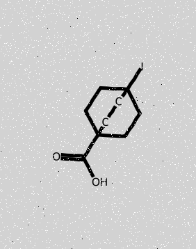 O=C(O)C12CCC(I)(CC1)CC2